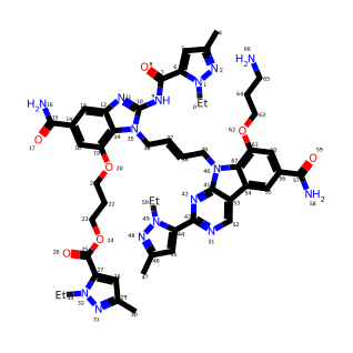 CCn1nc(C)cc1C(=O)Nc1nc2cc(C(N)=O)cc(OCCCOC(=O)c3cc(C)nn3CC)c2n1CC=CCn1c2nc(-c3cc(C)nn3CC)ncc2c2cc(C(N)=O)cc(OCCCN)c21